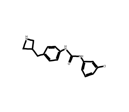 O=C(Nc1ccc(CC2CNC2)cc1)Nc1cccc(Cl)c1